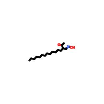 CCCCCCCCCCCCCC(C=NO)C(C)=O